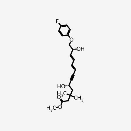 COC(=O)CC(C)(C)C[C@H](O)C#C/C=C/C=C/[C@H](O)COc1ccc(F)cc1